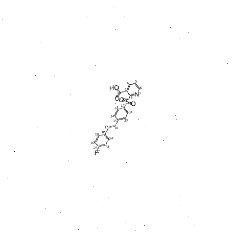 O=C(O)c1cccnc1S(=O)(=O)c1ccc(C=Cc2ccc(F)cc2)cc1